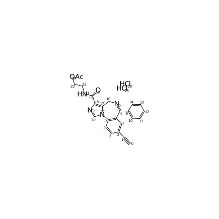 C#Cc1ccc2c(c1)C(c1ccccc1)=NCc1c(C(=O)NCCOC(C)=O)ncn1-2.Cl.Cl